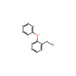 C[C](C)Cc1ccccc1Oc1ccccc1